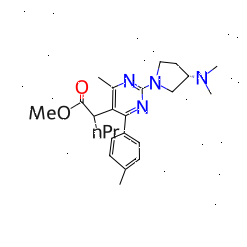 CCCC(C(=O)OC)c1c(C)nc(N2CC[C@H](N(C)C)C2)nc1-c1ccc(C)cc1